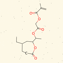 C=C(C)C(=O)OCC(=O)OC(C)C1CC(CC)CCC(=O)O1